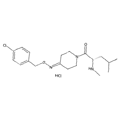 CN[C@@H](CC(C)C)C(=O)N1CCC(=NOCc2ccc(Cl)cc2)CC1.Cl